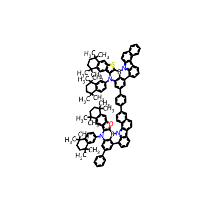 CC1(C)CCC(C)(C)c2cc(N3c4cc(-c5ccccc5)cc5c4B(c4oc6cc7c(cc6c43)C(C)(C)CCC7(C)C)n3c4c-5cccc4c4ccc5cc(-c6ccc(-c7cc8c9c(c7)N(c7ccc%10c(c7)C(C)(C)CCC%10(C)C)c7c(sc%10cc%11c(cc7%10)C(C)(C)CCC%11(C)C)B9n7c9ccc%10ccccc%10c9c9cccc-8c97)cc6)ccc5c43)ccc21